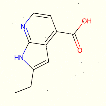 CCc1cc2c(C(=O)O)ccnc2[nH]1